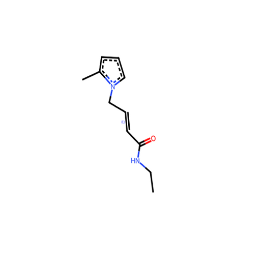 CCNC(=O)/C=C/Cn1cccc1C